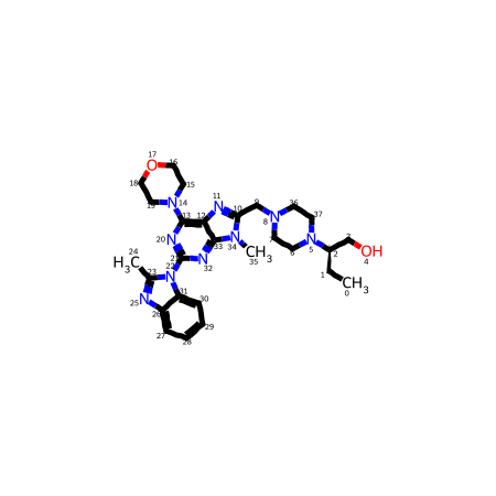 CC[C@H](CO)N1CCN(Cc2nc3c(N4CCOCC4)nc(-n4c(C)nc5ccccc54)nc3n2C)CC1